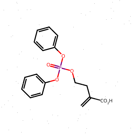 C=C(CCOP(=O)(Oc1ccccc1)Oc1ccccc1)C(=O)O